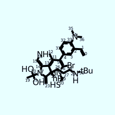 C=Cc1cc(C(=C(\Br)NCS)/C(C)=C2/C(=C\N)N(C(C)(O)O)C(=C)C2(CCC)CCCNC(C)(C)C)ccc1N(C)C